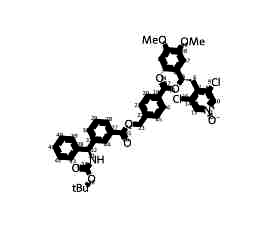 COc1ccc([C@H](Cc2c(Cl)c[n+]([O-])cc2Cl)OC(=O)c2ccc(COC(=O)c3cccc([C@@H](NC(=O)OC(C)(C)C)c4ccccc4)c3)cc2)cc1OC